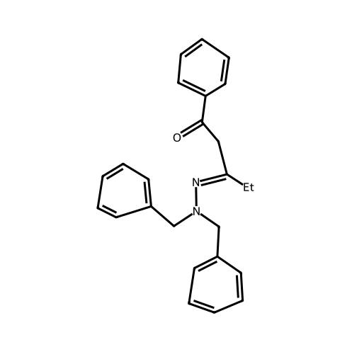 CCC(CC(=O)c1ccccc1)=NN(Cc1ccccc1)Cc1ccccc1